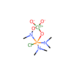 CN(C)P(Cl)(O[Cl+3]([O-])([O-])[O-])(N(C)C)N(C)C